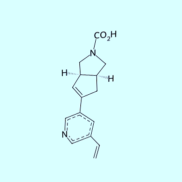 C=Cc1cncc(C2=C[C@H]3CN(C(=O)O)C[C@H]3C2)c1